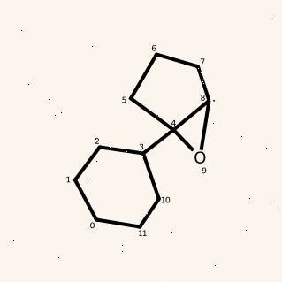 C1CCC(C23CCC[C]2O3)CC1